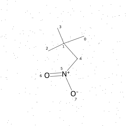 CC(C)(C)C[N+](=O)[O-]